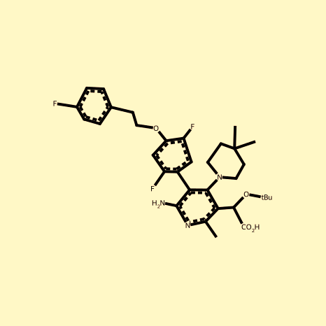 Cc1nc(N)c(-c2cc(F)c(OCCc3ccc(F)cc3)cc2F)c(N2CCC(C)(C)CC2)c1C(OC(C)(C)C)C(=O)O